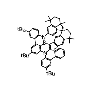 CC(C)(C)c1ccc2c(c1)-c1cc(C(C)(C)C)cc3c1B(c1c(sc4cc5c(cc14)C(C)(C)CCC5(C)C)N3c1ccc(C(C)(C)C)cc1-c1ccccc1)N2c1ccc2c(c1)C(C)(C)CCC2(C)C